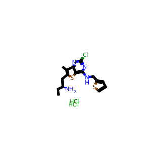 CC[C@H](N)Cc1sc2c(NCc3cccs3)nc(Cl)nc2c1C.Cl.Cl